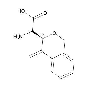 C=C1c2ccccc2CO[C@@H]1C(N)C(=O)O